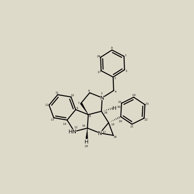 c1ccc(CN2CC[C@]34c5ccccc5N[C@H]3N3C[C@]3(c3ccccc3)[C@H]24)cc1